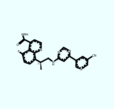 CNC(=O)c1ccnc2c([C@H](C)CNc3cc(-c4cncc(C#N)c4)ncn3)ccc(F)c12